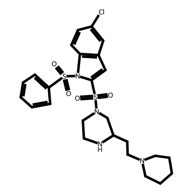 O=S(=O)(c1cc2cc(Cl)ccc2n1S(=O)(=O)c1ccccc1)N1CCNC(CCN2CCCCC2)C1